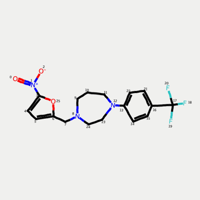 O=[N+]([O-])c1ccc(CN2CCCN(c3ccc(C(F)(F)F)cc3)CC2)o1